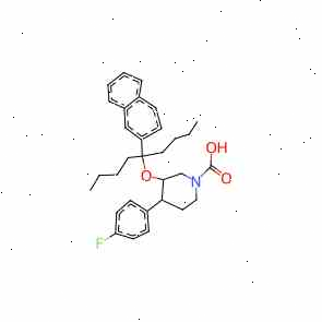 CCCCC(CCCC)(OC1CN(C(=O)O)CCC1c1ccc(F)cc1)c1ccc2ccccc2c1